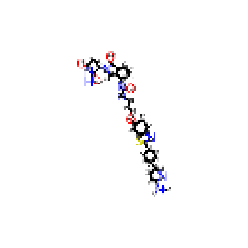 CN(C)c1ccc(-c2ccc(-c3nc4ccc(OCCCCC(=O)Nc5cccc6c5CN(C5CCC(=O)NC5=O)C6=O)cc4s3)cc2)cn1